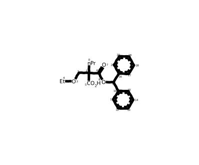 CCCC(COCC)(C(=O)O)C(=O)OC(c1ccccc1)c1ccccc1